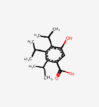 CC(C)c1c(O)cc(C(=O)O)c(C(C)C)c1C(C)C